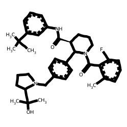 Cc1cccc(F)c1C(=O)N1CCC[C@H](C(=O)Nc2cccc(C(C)(C)C)c2)C1c1ccc(CN2CCCC2C(C)(C)O)cc1